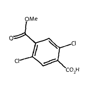 COC(=O)c1cc(Cl)c(C(=O)O)cc1Cl